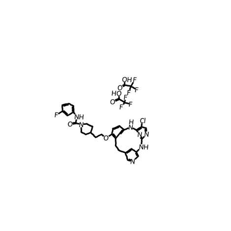 O=C(Nc1cccc(F)c1)N1CCC(CCOc2ccc3cc2CCc2cncc(c2)Nc2ncc(Cl)c(n2)N3)CC1.O=C(O)C(F)(F)F.O=C(O)C(F)(F)F